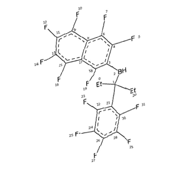 CCC(Bc1c(F)c(F)c2c(F)c(F)c(F)c(F)c2c1F)(CC)c1c(F)c(F)c(F)c(F)c1F